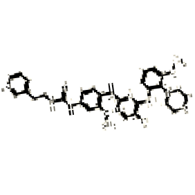 COc1cc(NC(=O)NCCc2cccnc2)ccc1Nc1ncc(Cl)c(Nc2cccc(OC)c2N2CCOCC2)n1